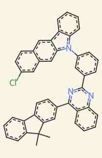 CC1(C)c2ccccc2-c2ccc(-c3nc(-c4cccc(-n5c6ccccc6c6cc7ccc(Cl)cc7cc65)c4)nc4ccccc34)cc21